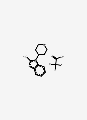 Cc1nc2ccccc2n1C1CCNCC1.O=C(O)C(F)(F)F